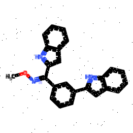 CO/N=C(/c1cccc(-c2cc3ccccc3[nH]2)c1)c1cc2ccccc2[nH]1